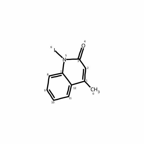 Cc1cc(=O)n(I)c2ccccc12